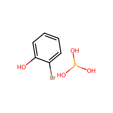 OP(O)O.Oc1ccccc1Br